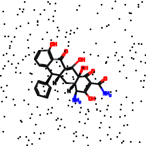 NC(=O)C1=C(O)[C@@H](N)[C@@H]2C[C@H]3C(=C(O)[C@]2(O)C1=O)C(=O)c1c(O)cccc1[C@@H]3c1ccccc1